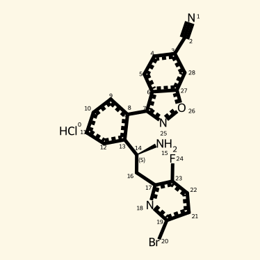 Cl.N#Cc1ccc2c(-c3ccccc3[C@@H](N)Cc3nc(Br)ccc3F)noc2c1